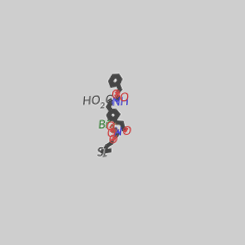 C[Si](C)(C)CCOCN1C(=O)CC(c2ccc(C=C(NC(=O)OCc3ccccc3)C(=O)O)cc2Br)S1(=O)=O